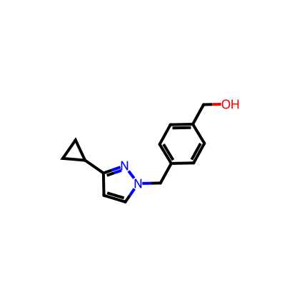 OCc1ccc(Cn2ccc(C3CC3)n2)cc1